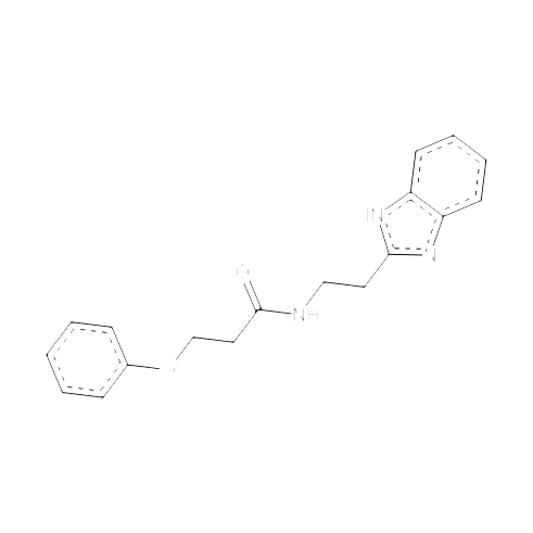 O=C(CCOc1ccccc1)NCCc1nc2ccccc2[nH]1